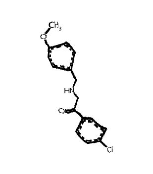 COc1ccc(CNCC(=O)c2ccc(Cl)cc2)cc1